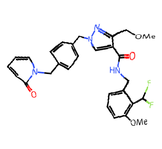 COCc1nn(Cc2ccc(Cn3ccccc3=O)cc2)cc1C(=O)NCc1cccc(OC)c1C(F)F